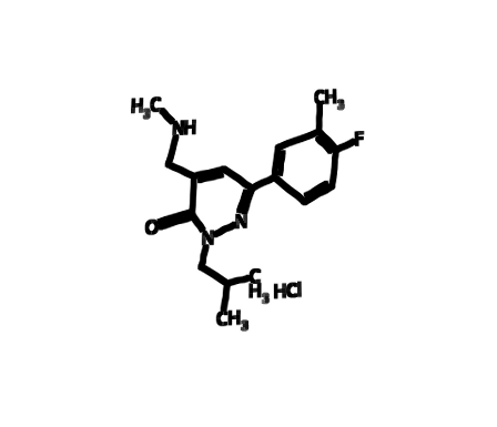 CNCc1cc(-c2ccc(F)c(C)c2)nn(CC(C)C)c1=O.Cl